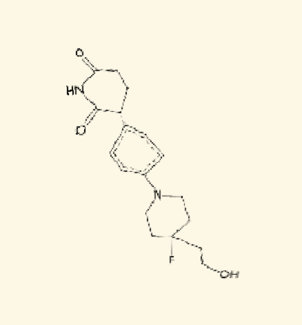 O=C1CC[C@H](c2ccc(N3CCC(F)(CCO)CC3)cc2)C(=O)N1